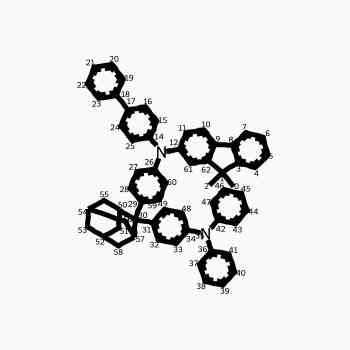 CC1(C)c2ccccc2-c2ccc(N(c3ccc(-c4ccccc4)cc3)c3ccc(C4(c5ccc(N(c6ccccc6)c6ccccc6)cc5)C5CC6CC(C5)CC4C6)cc3)cc21